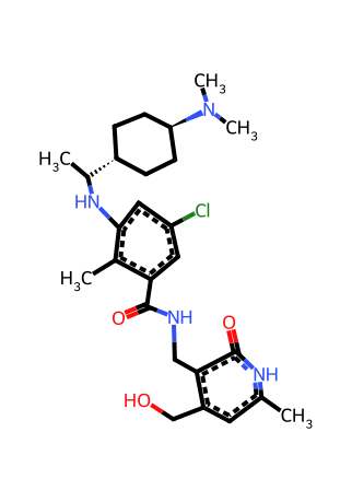 Cc1cc(CO)c(CNC(=O)c2cc(Cl)cc(NC(C)[C@H]3CC[C@H](N(C)C)CC3)c2C)c(=O)[nH]1